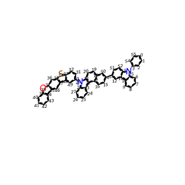 c1ccc(-n2c3ccccc3c3cc(-c4ccc5c(ccc6c5c5ccccc5n6-c5ccc6sc7cc8oc9ccccc9c8cc7c6c5)c4)ccc32)cc1